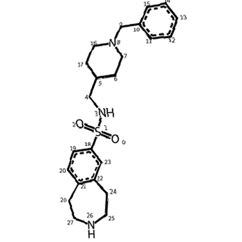 O=S(=O)(NCC1CCN(Cc2ccccc2)CC1)c1ccc2c(c1)CCNCC2